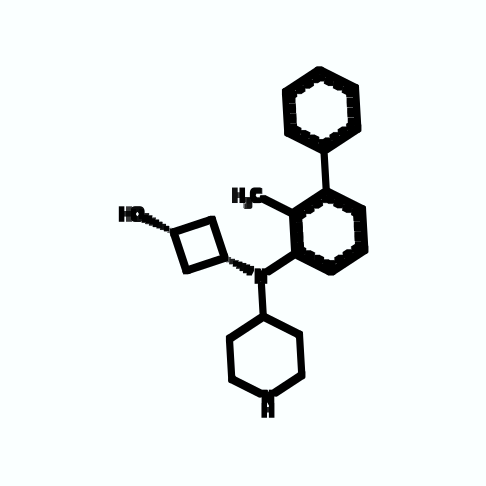 Cc1c(-c2ccccc2)cccc1N(C1CCNCC1)[C@H]1C[C@@H](O)C1